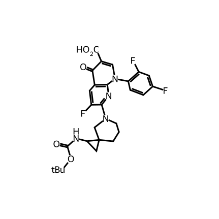 CC(C)(C)OC(=O)NC1CC12CCCN(c1nc3c(cc1F)c(=O)c(C(=O)O)cn3-c1ccc(F)cc1F)C2